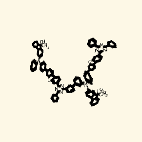 CC1(C)c2ccccc2-c2cc(N(c3ccccc3)c3ccc(-c4ccc5c(c4)oc4cc(-c6nc(-c7ccccc7)nc(-c7cccc(-c8cccc(N(c9ccc(-c%10ccc%11c(c%10)oc%10cc(-c%12nc(-c%13ccccc%13)nc(-c%13ccccc%13)n%12)ccc%10%11)cc9)c9ccc%10c(c9)C(C)(C)c9ccccc9-%10)c8)c7)n6)ccc45)cc3)ccc21